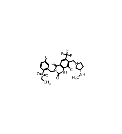 CCS(=O)(=O)c1ccc(Cl)cc1Cn1c(=O)[nH]c2c(Cl)c(CN3CC[C@H](NC)C3)c(C(F)(F)F)cc2c1=O